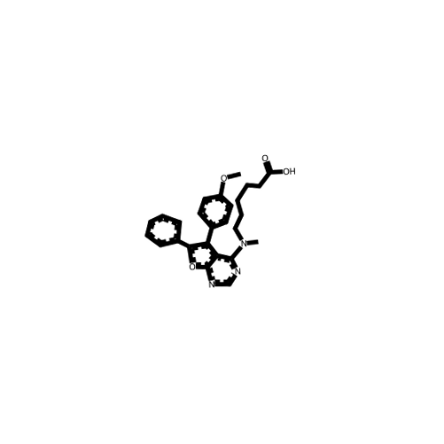 COc1ccc(-c2c(-c3ccccc3)oc3ncnc(N(C)CCCCCC(=O)O)c23)cc1